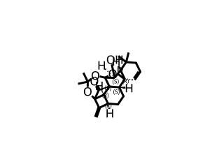 C=C1[C@@H]2CC[C@H]3[C@]45C=CCC(C)(C)[C@H]4[C@H](O)C4(OC5)OC(C)(C)OC15C(=O)[C@]34[C@@H]25